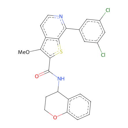 COc1c(C(=O)NC2CCOc3ccccc32)sc2c(-c3cc(Cl)cc(Cl)c3)nccc12